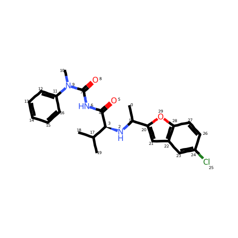 CC(N[C@H](C(=O)NC(=O)N(C)c1ccccc1)C(C)C)c1cc2cc(Cl)ccc2o1